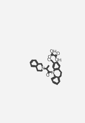 CC(C(=O)N1c2ccccc2CCc2ccc(Cl)cc21)N1CCc2ccccc2C1.O=C(O)C(=O)O